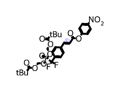 CC(C)(C)C(=O)OCOP(=O)(OCOC(=O)C(C)(C)C)C(F)(F)c1ccc(/C=C/C(=O)Oc2ccc([N+](=O)[O-])cc2)cc1